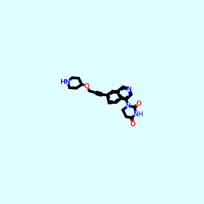 O=C1CCN(c2cncc3cc(C#CCOC4CCNCC4)ccc23)C(=O)N1